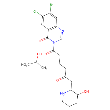 CC(O)C(=O)O.O=C(CCCC(=O)n1cnc2cc(Br)c(Cl)cc2c1=O)CC1NCCCC1O